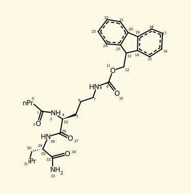 CCCC(=O)N[C@@H](CCCNC(=O)OCC1c2ccccc2-c2ccccc21)C(=O)N[C@@H](CC(C)C)C(N)=O